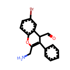 NCC1=C(c2ccccc2)C(C=O)c2cc(Br)ccc2O1